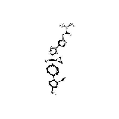 CN(C)C(=O)Cn1cc(-c2nc(C(C)(c3ccc(-c4ccc(N)nc4C#N)cc3)C3CC3)no2)cn1